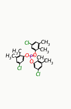 Cc1cc(Cl)cc(OP(Oc2cc(Cl)cc(C)c2C)Oc2cc(Cl)cc(C)c2C)c1C